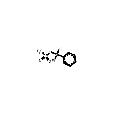 CCS(CC)(OS(=O)(=O)C(F)(F)F)c1ccccc1